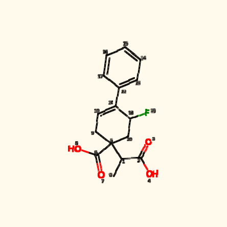 CC(C(=O)O)C1(C(=O)O)CC=C(c2ccccc2)C(F)C1